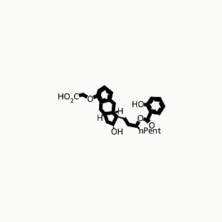 CCCCC[C@@H](CC[C@@H]1[C@H]2Cc3cccc(OCC(=O)O)c3C[C@H]2C[C@H]1O)OC(=O)c1ccccc1O